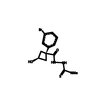 CNC(=S)NNC(=O)[C@]1(c2cccc(Br)c2)C[C@H](O)C1